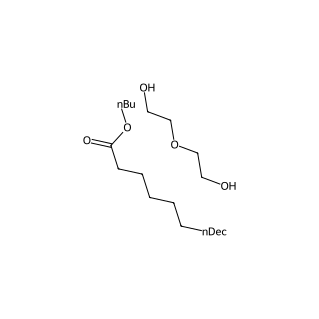 CCCCCCCCCCCCCCCC(=O)OCCCC.OCCOCCO